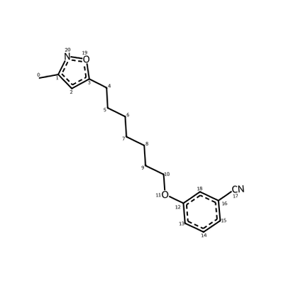 Cc1cc(CCCCCCCOc2cccc(C#N)c2)on1